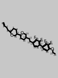 C=CCCC1CCC(C2CCC(CCc3ccc(-c4ccc(OCC)c(F)c4F)c(F)c3F)CO2)CO1